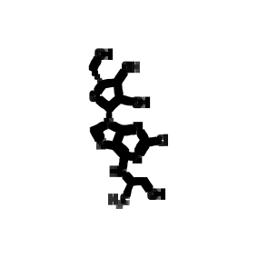 C[C@H](CO)Nc1nc(Cl)nc2c1ncn2[C@@H]1O[C@H](CO)C(O)C1O